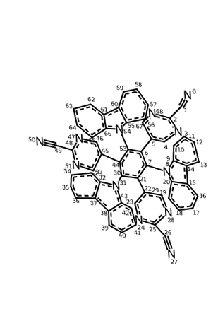 N#Cc1ncc(-c2c(-n3c4ccccc4c4ccccc43)c(-c3cnc(C#N)nc3)c(-n3c4ccccc4c4ccccc43)c(-c3cnc(C#N)nc3)c2-n2c3ccccc3c3ccccc32)cn1